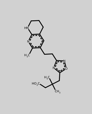 Cc1nc2c(cc1CCc1noc(CC(C)(C)CC(=O)O)n1)CCCN2